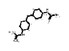 C=C(N)NC1CCC(CC2CCC(NC(N)=S)CC2)CC1